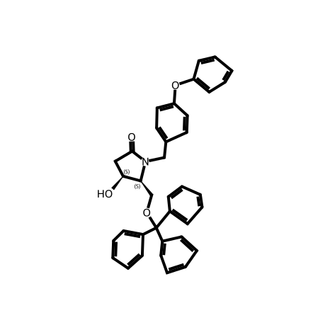 O=C1C[C@H](O)[C@H](COC(c2ccccc2)(c2ccccc2)c2ccccc2)N1Cc1ccc(Oc2ccccc2)cc1